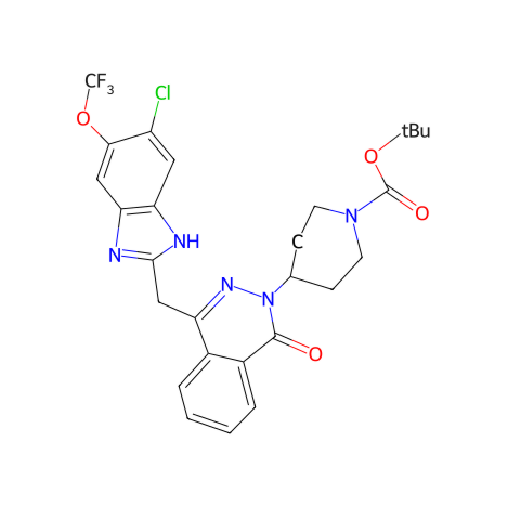 CC(C)(C)OC(=O)N1CCC(n2nc(Cc3nc4cc(OC(F)(F)F)c(Cl)cc4[nH]3)c3ccccc3c2=O)CC1